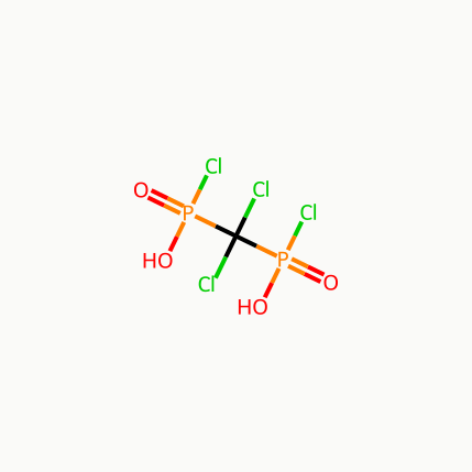 O=P(O)(Cl)C(Cl)(Cl)P(=O)(O)Cl